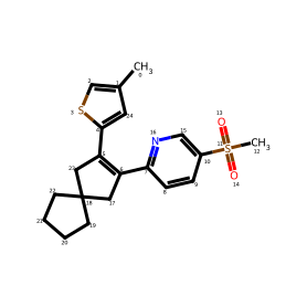 Cc1csc(C2=C(c3ccc(S(C)(=O)=O)cn3)CC3(CCCC3)C2)c1